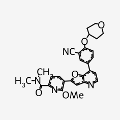 COc1nc(C(=O)N(C)C)ccc1-c1cc2nccc(-c3ccc(OC4CCOCC4)c(C#N)c3)c2o1